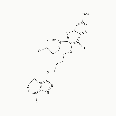 COc1ccc2c(=O)c(OCCCCSc3nnc4c(Cl)cccn34)c(-c3ccc(Cl)cc3)oc2c1